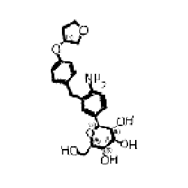 Nc1ccc([C@@H]2O[C@H](CO)[C@@H](O)[C@H](O)[C@H]2O)cc1Cc1ccc(O[C@H]2CCOC2)cc1